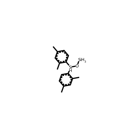 Cc1ccc([SiH](O[SiH3])c2ccc(C)cc2C)c(C)c1